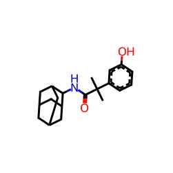 CC(C)(C(=O)NC1C2CC3CC(C2)CC1C3)c1cccc(O)c1